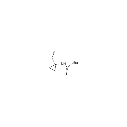 CC(C)(C)C(=O)NC1(CF)CC1